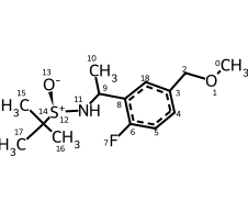 COCc1ccc(F)c(C(C)N[S@+]([O-])C(C)(C)C)c1